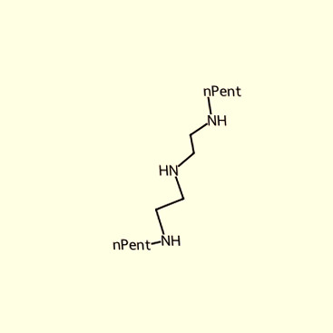 CCCCCNCCNCCNCCCCC